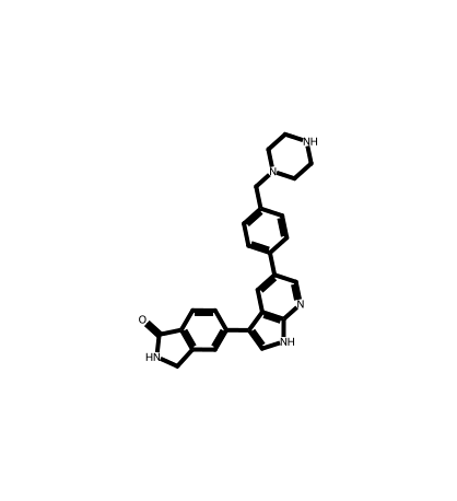 O=C1NCc2cc(-c3c[nH]c4ncc(-c5ccc(CN6CCNCC6)cc5)cc34)ccc21